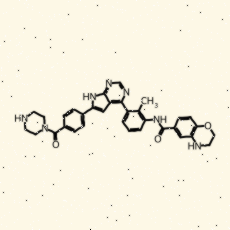 Cc1c(NC(=O)c2ccc3c(c2)NCCO3)cccc1-c1ncnc2[nH]c(-c3ccc(C(=O)N4CCNCC4)cc3)cc12